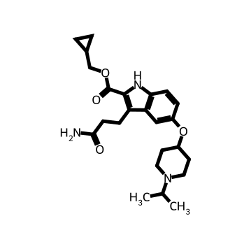 CC(C)N1CCC(Oc2ccc3[nH]c(C(=O)OCC4CC4)c(CCC(N)=O)c3c2)CC1